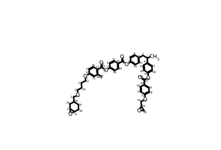 CC(Cc1ccc(OC(=O)c2ccc(OC(=O)c3ccc(OCCCCOCC4CCC5OC5C4)cc3F)cc2)cc1)c1ccc(OC(=O)c2ccc(OCC3CO3)cc2)cc1